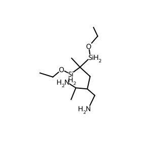 CCO[SiH2]C(C)(CC(CN)C(C)N)[SiH2]OCC